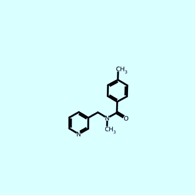 Cc1ccc(C(=O)N(C)Cc2cccnc2)cc1